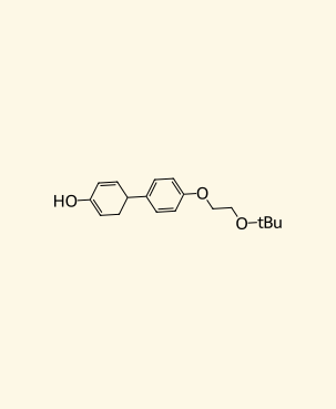 CC(C)(C)OCCOc1ccc(C2C=CC(O)=CC2)cc1